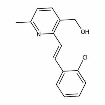 Cc1ccc(CO)c(/C=C/c2ccccc2Cl)n1